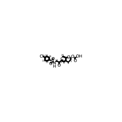 O=C(O)OC1CCc2cc(C(=O)CNS(=O)(=O)c3ccc(Cl)cc3)ccc2O1